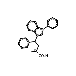 C[C@H](CC(c1ccccc1)c1cn(-c2ccccc2)c2ccccc12)C(=O)O